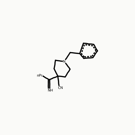 CCCC(=N)C1(C#N)CCN(Cc2ccccc2)CC1